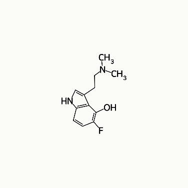 CN(C)CCc1c[nH]c2ccc(F)c(O)c12